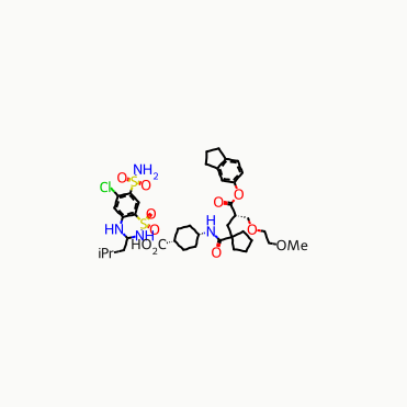 CC(C)CC1Nc2cc(Cl)c(S(N)(=O)=O)cc2S(=O)(=O)N1.COCCOC[C@H](CC1(C(=O)N[C@H]2CC[C@@H](C(=O)O)CC2)CCCC1)C(=O)Oc1ccc2c(c1)CCC2